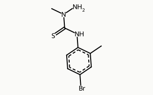 Cc1cc(Br)ccc1NC(=S)N(C)N